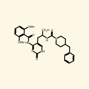 COc1cccc(OC)c1C(=O)Nc1nc(=O)[nH]cc1CC(NC(=O)N1CCC(Cc2ccccc2)CC1)C(=O)O